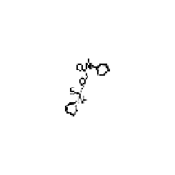 CN(C(=O)COCC(=S)N(C)c1ccccc1)c1ccccc1